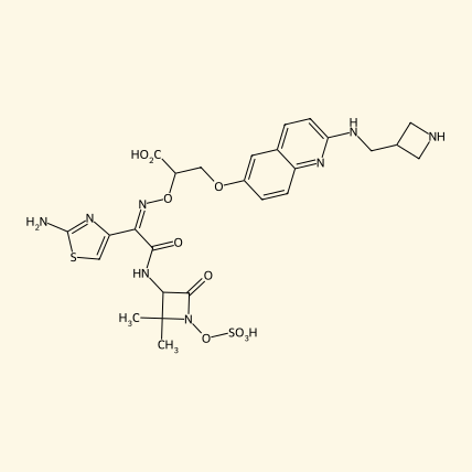 CC1(C)C(NC(=O)/C(=N\OC(COc2ccc3nc(NCC4CNC4)ccc3c2)C(=O)O)c2csc(N)n2)C(=O)N1OS(=O)(=O)O